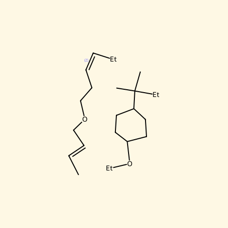 CC=CCOCC/C=C\CC.CCOC1CCC(C(C)(C)CC)CC1